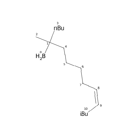 BC(C)(CCCC)CCCC/C=C\C(C)CC